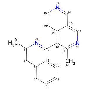 Cc1cc2ccccc2c(-c2c(C)ncc3cnccc23)n1